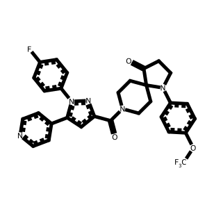 O=C(c1cc(-c2ccncc2)n(-c2ccc(F)cc2)n1)N1CCC2(CC1)C(=O)CCN2c1ccc(OC(F)(F)F)cc1